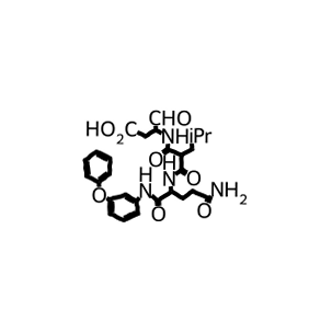 CC(C)CC(C(=O)NC(C=O)CC(=O)O)C(=O)NC(CCC(N)=O)C(=O)Nc1cccc(Oc2ccccc2)c1